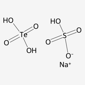 O=S(=O)([O-])O.O=[Te](=O)(O)O.[Na+]